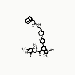 Cc1cc(C)c(CNC(=O)c2cc(-c3ccc(N4CCN(CCNC(=O)CC5C6CC7CC(C6)CC5C7)CC4)nc3)cc3c2c(C)cn3C(C)C)c(=O)[nH]1